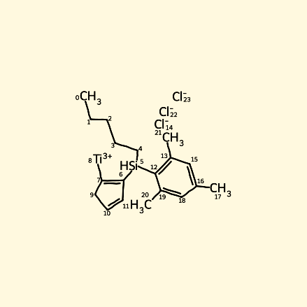 CCCCC[SiH](C1=[C]([Ti+3])CC=C1)c1c(C)cc(C)cc1C.[Cl-].[Cl-].[Cl-]